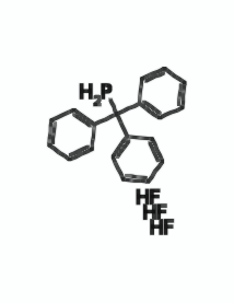 F.F.F.PC(c1ccccc1)(c1ccccc1)c1ccccc1